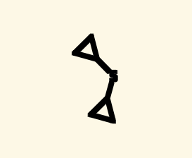 C1CC1SC1CC1